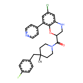 N#CC1(Cc2ccc(F)cc2)CCN(C(=O)C2CNc3cc(Cl)cc(-c4ccncc4)c3O2)CC1